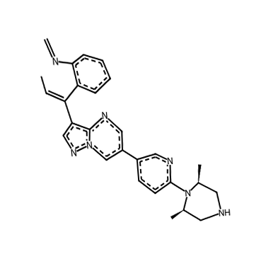 C=Nc1ccccc1/C(=C\C)c1cnn2cc(-c3ccc(N4[C@H](C)CNC[C@@H]4C)nc3)cnc12